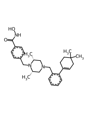 C[C@@H]1CN(Cc2ccccc2C2=CCC(C)(C)CC2)C[C@H](C)N1Cc1ccc(C(=O)NO)cc1